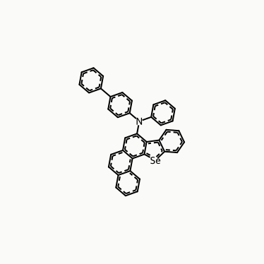 c1ccc(-c2ccc(N(c3ccccc3)c3cc4ccc5ccccc5c4c4[se]c5ccccc5c34)cc2)cc1